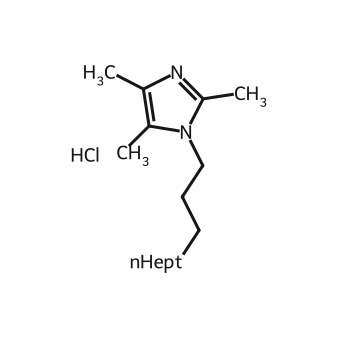 CCCCCCCCCCn1c(C)nc(C)c1C.Cl